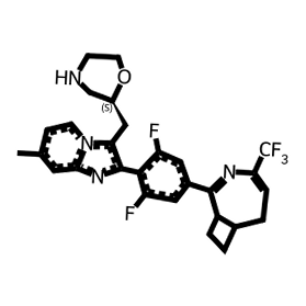 Cc1ccn2c(C[C@H]3CNCCO3)c(-c3c(F)cc(C4=NC(C(F)(F)F)=CCC5CCC45)cc3F)nc2c1